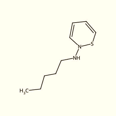 CCCCCNN1C=CC=CS1